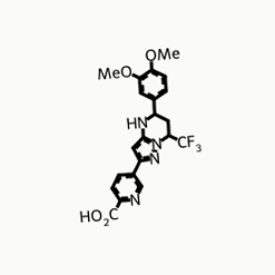 COc1ccc(C2CC(C(F)(F)F)n3nc(-c4ccc(C(=O)O)nc4)cc3N2)cc1OC